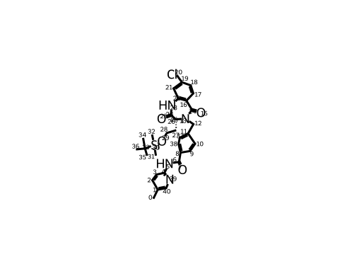 Cc1ccc(NC(=O)c2ccc(CN3C(=O)c4ccc(Cl)cc4NC(=O)[C@H]3CCO[Si](C)(C)C(C)(C)C)cc2)nc1